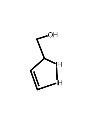 OCC1C=C[IH][IH]1